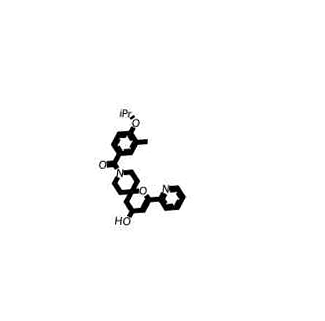 Cc1cc(C(=O)N2CCC3(CC2)CC(O)C=C(c2ccccn2)O3)ccc1OC(C)C